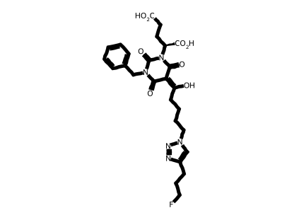 O=C(O)CC[C@@H](C(=O)O)N1C(=O)/C(=C(\O)CCCCn2cc(CCCF)nn2)C(=O)N(Cc2ccccc2)C1=O